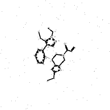 C=CC(=O)N1Cc2sc(CC)cc2[C@H](c2ccccc2-c2cnn(CC)c2CC)C1